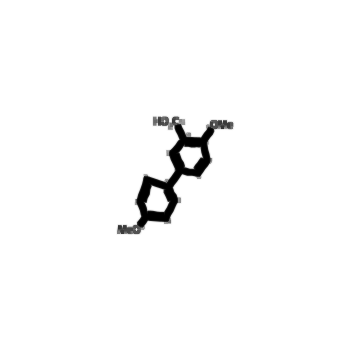 COc1ccc(-c2ccc(OC)c(C(=O)O)c2)cc1